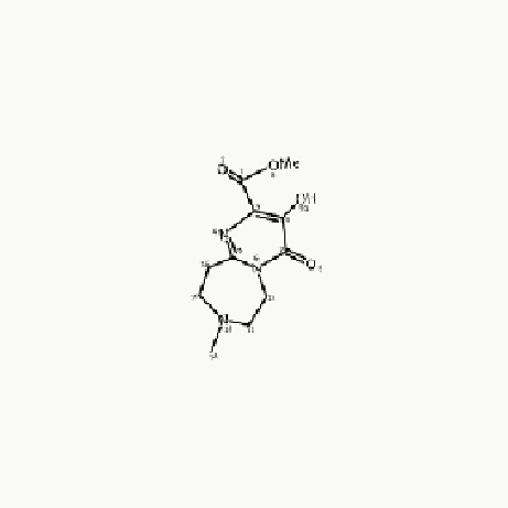 COC(=O)c1nc2n(c(=O)c1O)CCN(C)CC2